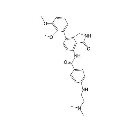 COc1cccc(-c2ccc(NC(=O)c3ccc(NCCN(C)C)cc3)c3c2CNC3=O)c1OC